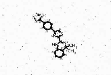 CC1(C)N=C(c2nc(-c3ccc(-c4nnn[nH]4)cc3)cs2)Nc2ccccc21